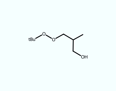 CC(CO)COOC(C)(C)C